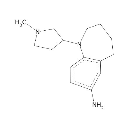 CN1CCC(N2CCCCc3cc(N)ccc32)C1